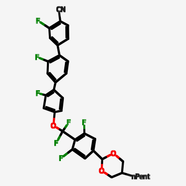 CCCCCC1COC(c2cc(F)c(C(F)(F)Oc3ccc(-c4ccc(-c5ccc(C#N)c(F)c5)c(F)c4)c(F)c3)c(F)c2)OC1